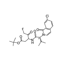 CC(C)[C@@H](C(=O)NC(CC(=O)OC(C)(C)C)C(=O)CF)n1ccc2ccc(Cl)cc2c1=O